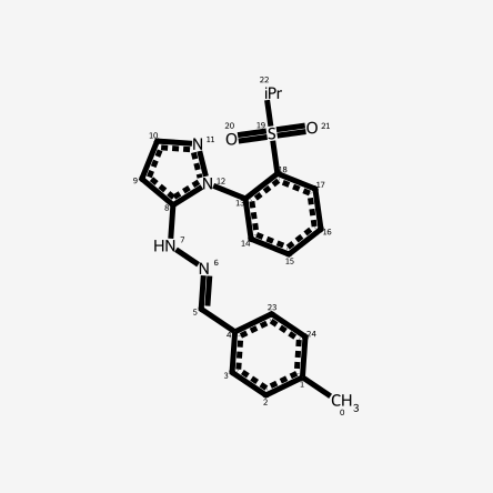 Cc1ccc(/C=N/Nc2ccnn2-c2ccccc2S(=O)(=O)C(C)C)cc1